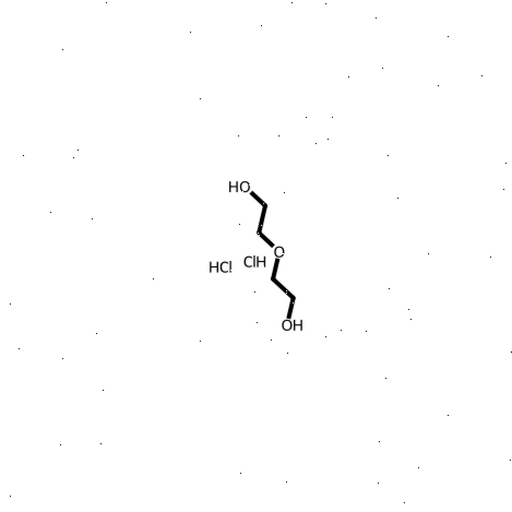 Cl.Cl.OCCOCCO